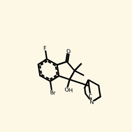 CC1(C)C(=O)c2c(F)ccc(Br)c2C1(O)C1CN2CCC1CC2